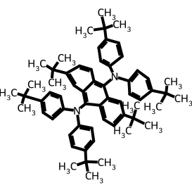 CC(C)(C)c1ccc(N(c2ccc(C(C)(C)C)cc2)c2c3ccc(C(C)(C)C)cc3c(N(c3ccc(C(C)(C)C)cc3)c3ccc(C(C)(C)C)cc3)c3ccc(C(C)(C)C)cc23)cc1